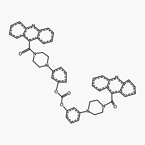 O=C(Oc1cccc(N2CCN(C(=O)c3c4ccccc4nc4ccccc34)CC2)c1)Oc1cccc(N2CCN(C(=O)c3c4ccccc4nc4ccccc34)CC2)c1